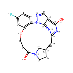 O=C1CCOc2cc(F)ccc2-n2ncc3c(O)nc(nc32)C[C@H]2CCN1C2